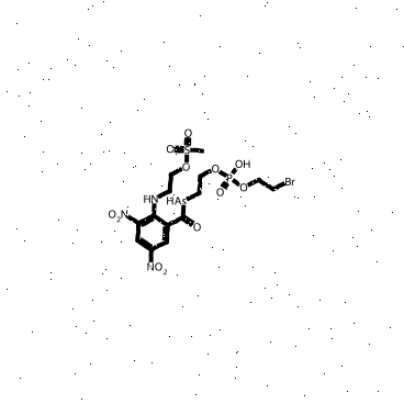 CS(=O)(=O)OCCNc1c(C(=O)[AsH]CCOP(=O)(O)OCCBr)cc([N+](=O)[O-])cc1[N+](=O)[O-]